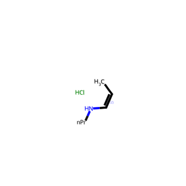 C/C=C\NCCC.Cl